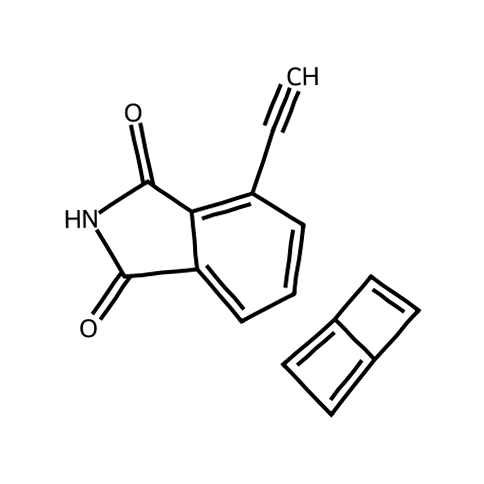 C#Cc1cccc2c1C(=O)NC2=O.c1cc2ccc1-2